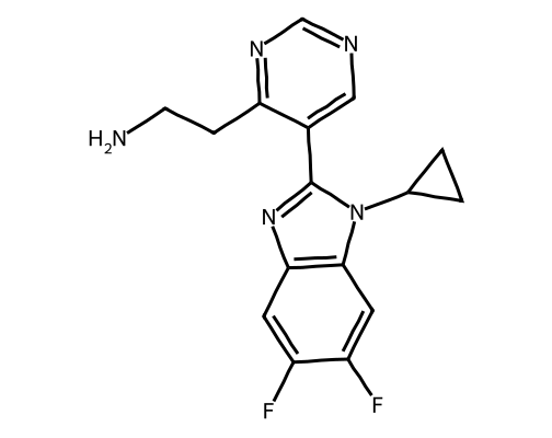 NCCc1ncncc1-c1nc2cc(F)c(F)cc2n1C1CC1